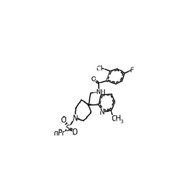 CCCS(=O)(=O)N1CCC(CNC(=O)c2ccc(F)cc2Cl)(c2cccc(C)n2)CC1